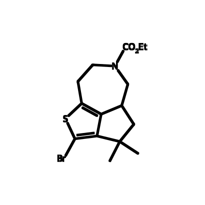 CCOC(=O)N1CCc2sc(Br)c3c2C(C1)CC3(C)C